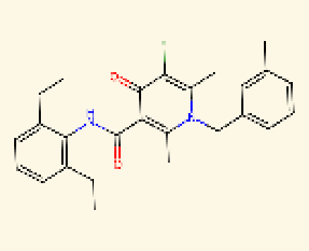 CCc1cccc(CC)c1NC(=O)c1c(C)n(Cc2cccc(C)c2)c(C)c(F)c1=O